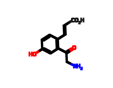 NCC(=O)c1cc(O)ccc1C=CC(=O)O